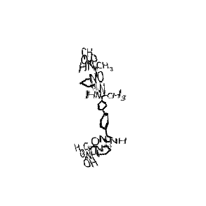 COC(=O)N[C@@H](C)C(=O)N1CCC[C@H]1c1nc(C)c(-c2ccc(-c3ccc(-c4c[nH]c([C@@H]5CCCN5C(=O)[C@H](C)NC(=O)O)n4)cc3)cc2)[nH]1